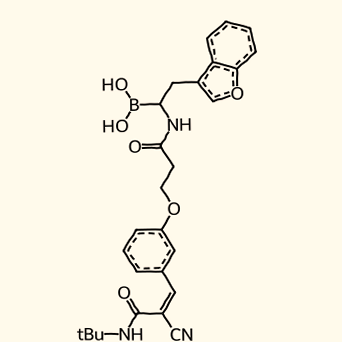 CC(C)(C)NC(=O)C(C#N)=Cc1cccc(OCCC(=O)NC(Cc2coc3ccccc23)B(O)O)c1